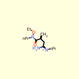 C=C(C/C(N)=N\CCC)C(=O)N(CCC)OCC